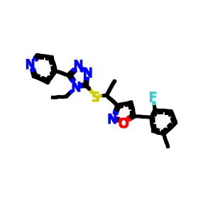 CCn1c(SC(C)c2cc(-c3cc(C)ccc3F)on2)nnc1-c1ccncc1